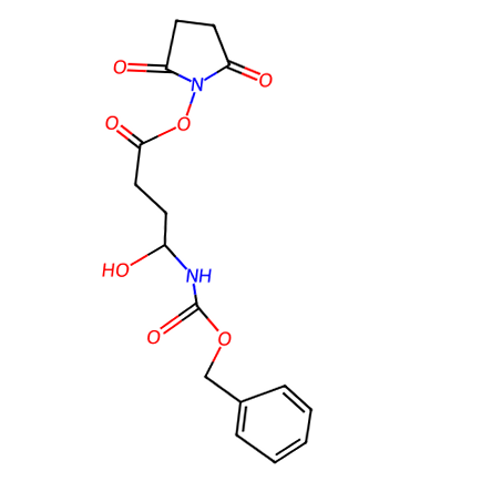 O=C(CCC(O)NC(=O)OCc1ccccc1)ON1C(=O)CCC1=O